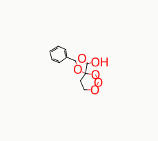 O=C(O)C1(OCc2ccccc2)CCOOO1